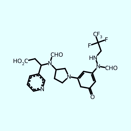 O=CN(NCC(F)(F)C(F)(F)F)C1=CC(=O)CC(N2CCC(N(C=O)C(CC(=O)O)c3cccnc3)C2)=C1